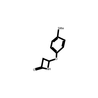 CSc1ccc(OC2CC(=O)N2)cc1